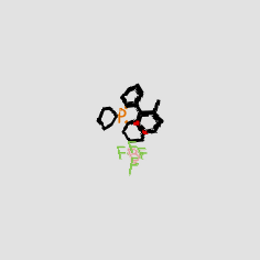 Cc1ccccc1-c1ccccc1P(C1CCCCC1)C1CCCCC1.F[B-](F)(F)F